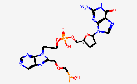 Nc1nc2c(ncn2C2CC[C@@H](COP(=O)(O)OCCn3c(COCPO)nc4cncnc43)O2)c(=O)[nH]1